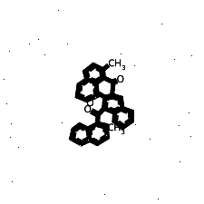 Cc1ccc2ccccc2c1C(=O)c1cc2ccccc2c(C(=O)c2c(C)ccc3ccccc23)c1P=O